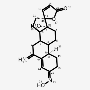 C=C1CC2C(CC[C@@]3(C)C2CC[C@@]32C=CC(=O)O2)[C@H]2CCC(=NO)C=C12